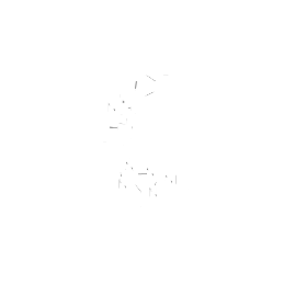 COC(=O)[C@H](C)N(C)P(=O)(OC[C@H]1C[C@@H](n2cnc3c(OC)nc(N)nc32)C1)Oc1ccc(Br)cc1